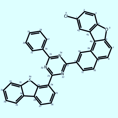 Clc1ccc2oc3ccc4ccc(-c5nc(-c6ccccc6)nc(-c6cccc7c6sc6ccccc67)n5)cc4c3c2c1